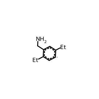 CCc1[c]cc(CC)c(CN)c1